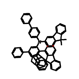 CC1(C)c2ccccc2-c2cc(N(c3ccc(-c4ccccc4)cc3)c3cc(-c4ccccc4)cc(-c4ccccc4)c3-c3cccc4c3C3(c5ccccc5-4)C4CC5CC(C4)CC3C5)ccc21